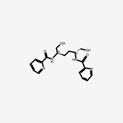 O=C(N[C@@H](CO)CC[C@H](CO)NC(=O)c1ccccn1)c1ccccn1